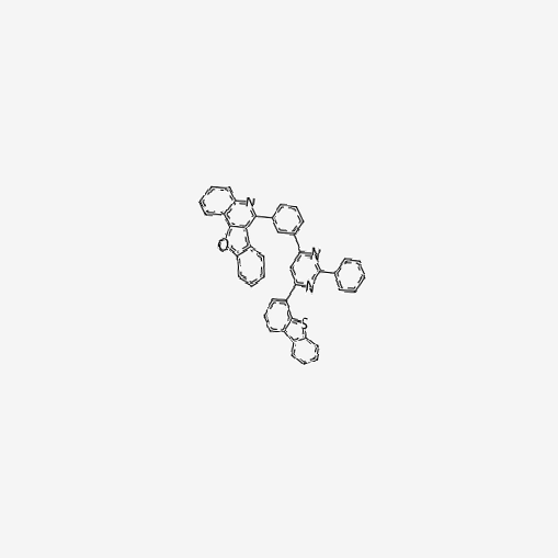 c1ccc(-c2nc(-c3cccc(-c4nc5ccccc5c5oc6ccccc6c45)c3)cc(-c3cccc4c3sc3ccccc34)n2)cc1